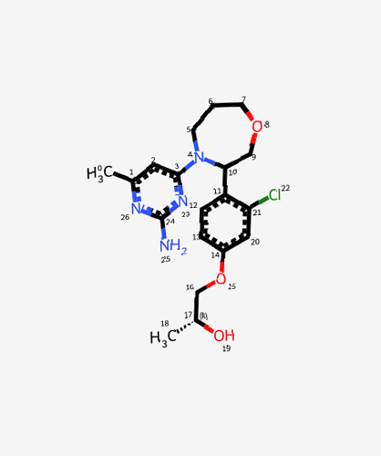 Cc1cc(N2CCCOCC2c2ccc(OC[C@@H](C)O)cc2Cl)nc(N)n1